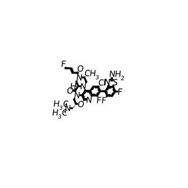 C[C@@H]1CN2c3c4c(nc5c(F)c(-c6c(F)cc(F)c7sc(N)nc67)c(Cl)cc35)O[C@H](CN(C)C)CN4C(=O)[C@H]2CN1C(=O)/C=C/CF